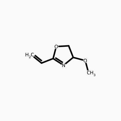 C=CC1=NC(OC)CO1